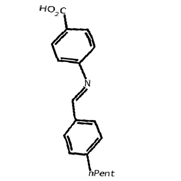 CCCCCc1ccc(/C=N/c2ccc(C(=O)O)cc2)cc1